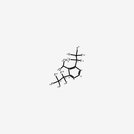 CC([O])c1c(C(F)(F)C(F)(F)F)cccc1C(F)(F)C(F)(F)F